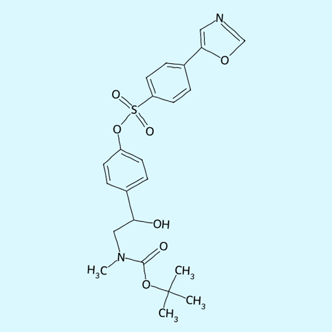 CN(CC(O)c1ccc(OS(=O)(=O)c2ccc(-c3cnco3)cc2)cc1)C(=O)OC(C)(C)C